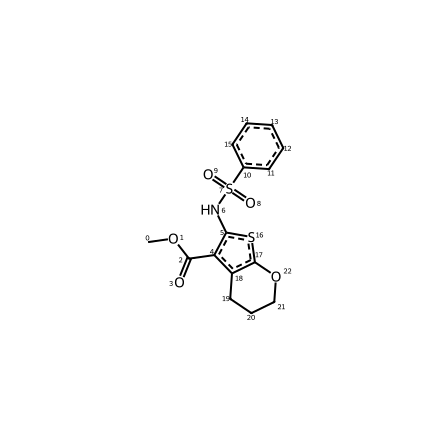 COC(=O)c1c(NS(=O)(=O)c2ccccc2)sc2c1CCCO2